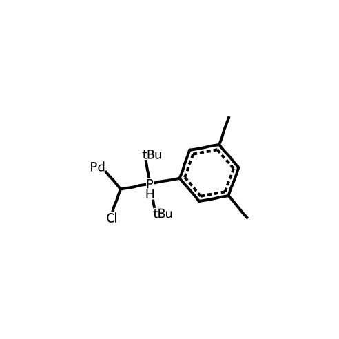 Cc1cc(C)cc([PH]([CH](Cl)[Pd])(C(C)(C)C)C(C)(C)C)c1